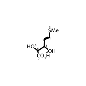 CSC=CC(O)C(O)C(=O)O